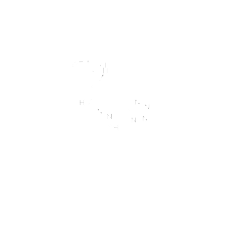 Cn1nc2c(c1-c1nnn(Cc3ccccc3)n1)CC[C@H]1C(C)(C)C(=O)CC[C@]21C